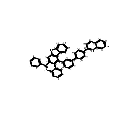 c1ccc(-c2nc3ccccc3c3c(-c4cccc(-c5ccc(-c6ccc7ccccc7n6)cc5)c4)c4c(cc23)oc2ccccc24)cc1